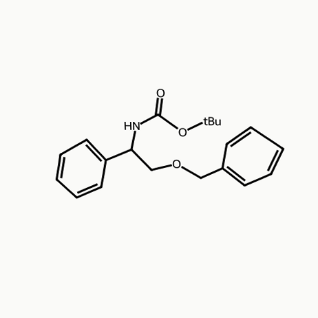 CC(C)(C)OC(=O)NC(COCc1ccccc1)c1ccccc1